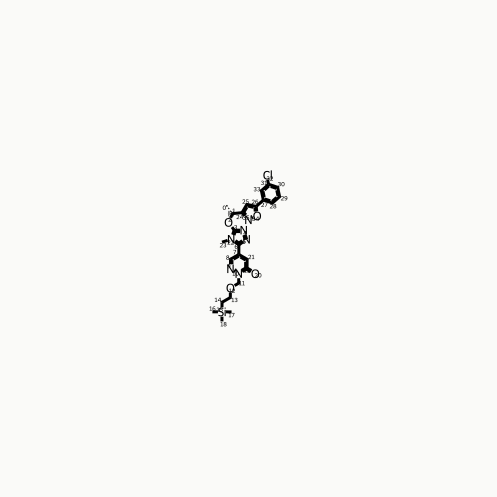 C[C@@H](Oc1nnc(-c2cnn(COCC[Si](C)(C)C)c(=O)c2)n1C)c1cc(-c2cccc(Cl)c2)on1